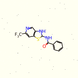 O=C(NC1Nc2cnc(C(F)(F)F)cc2S1)c1ccccc1